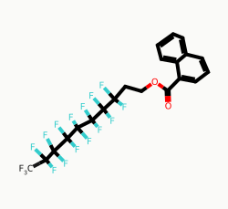 O=C(OCCC(F)(F)C(F)(F)C(F)(F)C(F)(F)C(F)(F)C(F)(F)C(F)(F)C(F)(F)F)c1cccc2ccccc12